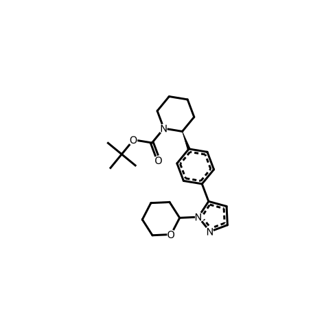 CC(C)(C)OC(=O)N1CCCC[C@H]1c1ccc(-c2ccnn2C2CCCCO2)cc1